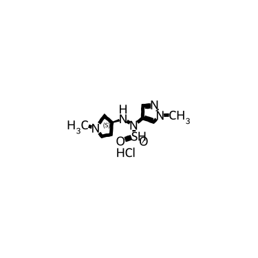 CN1CC[C@H](NN(c2cnn(C)c2)[SH](=O)=O)C1.Cl